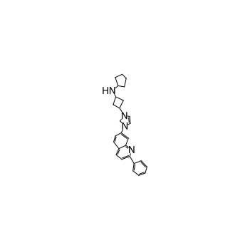 C1=CN(C2CC(NC3CCCC3)C2)CN1c1ccc2ccc(-c3ccccc3)nc2c1